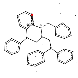 O=C(O)[C@H](Cc1ccccc1)N(CP(c1ccccc1)c1ccccc1)CP(c1ccccc1)c1ccccc1